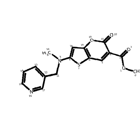 COC(=O)c1cc2sc(N(C)Cc3cccnc3)cc2oc1=O